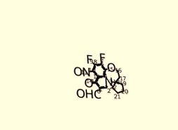 O=Cc1cn2c3c(c(F)c(F)c(N=O)c3c1=O)OCCC21CCCC1